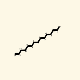 [CH2]/C=C/CC/C=C/CC/C=C/CCC=C